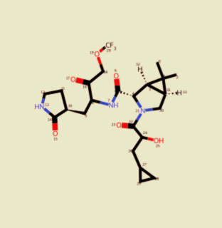 CC1(C)[C@@H]2[C@@H](C(=O)NC(C[C@@H]3CCNC3=O)C(=O)COC(F)(F)F)N(C(=O)C(O)CC3CC3)C[C@@H]21